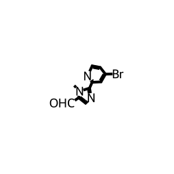 Cn1c(C=O)cnc1-c1cc(Br)ccn1